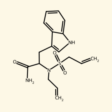 C=CCN(C(Cc1c[nH]c2ccccc12)C(N)=O)S(=O)(=O)CC=C